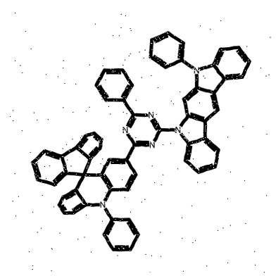 c1ccc(-c2nc(-c3ccc4c(c3)C3(c5ccccc5-c5ccccc53)c3ccccc3N4c3ccccc3)nc(-n3c4ccccc4c4cc5c6ccccc6n(-c6ccccc6)c5cc43)n2)cc1